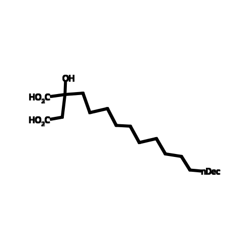 CCCCCCCCCCCCCCCCCCCCC(O)(CC(=O)O)C(=O)O